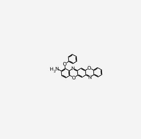 Nc1ccc2c(c1Oc1ccccc1)N=c1cc3c(cc1O2)=Nc1ccccc1O3